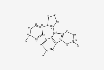 Cc1ccc2c(c1)c1c(n2C2=C(C3=CCC(C)N=C3)CCC2)CCN(C)C1